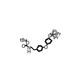 CC(C)[Si](Oc1ccc(Oc2ccc(CCNC(=O)OC(C)(C)C)cc2)cc1)(C(C)C)C(C)C